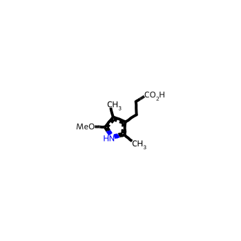 COc1[nH]c(C)c(CCC(=O)O)c1C